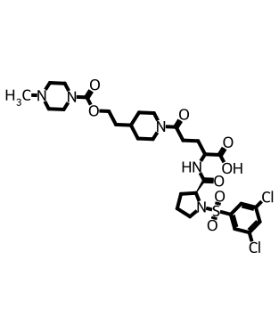 CN1CCN(C(=O)OCCC2CCN(C(=O)CCC(NC(=O)[C@@H]3CCCN3S(=O)(=O)c3cc(Cl)cc(Cl)c3)C(=O)O)CC2)CC1